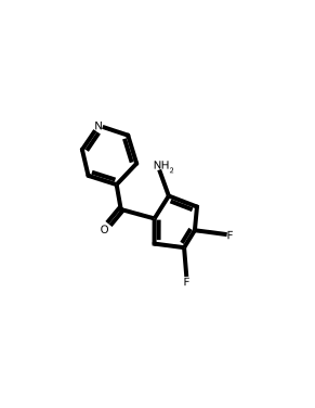 Nc1cc(F)c(F)cc1C(=O)c1ccncc1